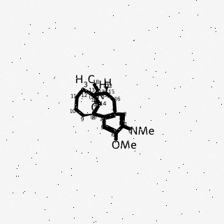 CNc1cc2c(cc1OC)[C@@]13CCCC[C@@H](C1)[C@H](C2)N(C)CC3